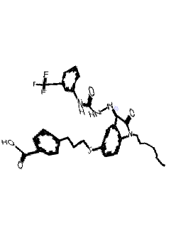 CCCCCN1C(=O)/C(=N/NC(=O)Nc2cccc(C(F)(F)F)c2)c2cc(SCCCc3ccc(C(=O)O)cc3)ccc21